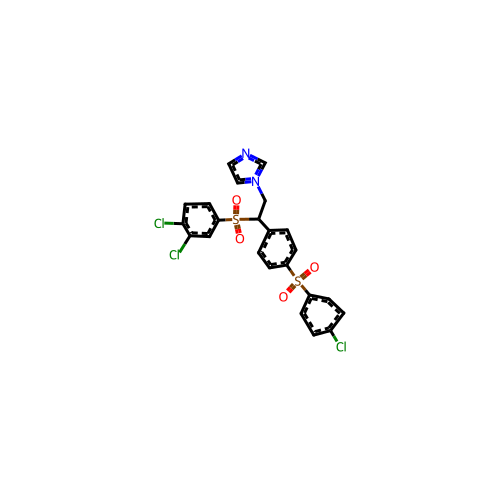 O=S(=O)(c1ccc(Cl)cc1)c1ccc(C(Cn2ccnc2)S(=O)(=O)c2ccc(Cl)c(Cl)c2)cc1